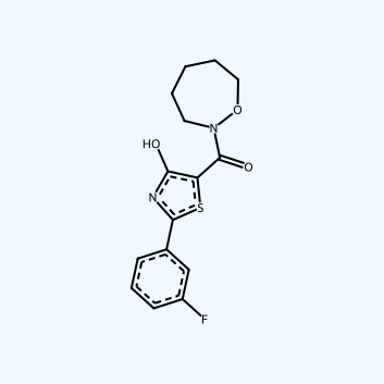 O=C(c1sc(-c2cccc(F)c2)nc1O)N1CCCCCO1